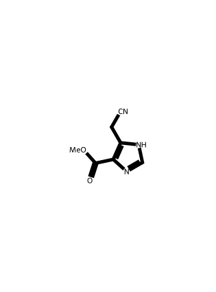 COC(=O)c1nc[nH]c1CC#N